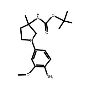 COc1cc(N2CCC(C)(NC(=O)OC(C)(C)C)C2)ccc1N